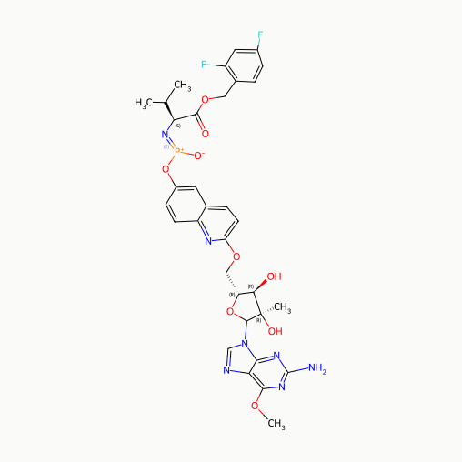 COc1nc(N)nc2c1ncn2C1O[C@H](COc2ccc3cc(O/[P+]([O-])=N/[C@H](C(=O)OCc4ccc(F)cc4F)C(C)C)ccc3n2)[C@@H](O)[C@@]1(C)O